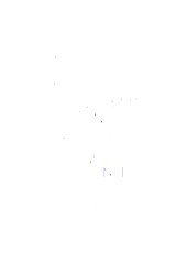 C=CCNC(=O)CN1C(=O)c2ccccc2C1=O